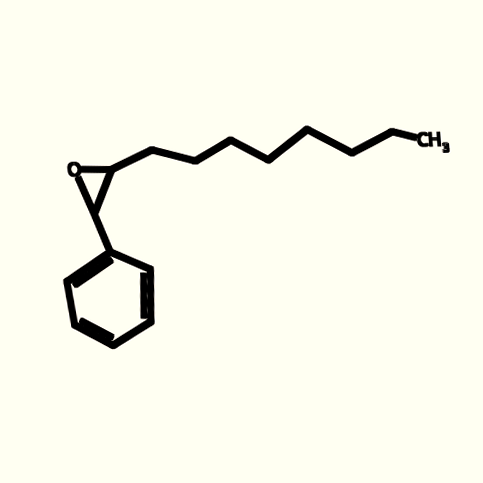 CCCCCCCCC1OC1c1ccccc1